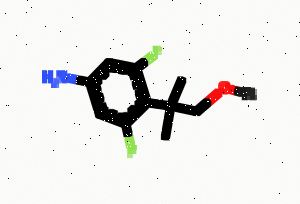 CCOCC(C)(C)c1c(F)cc(N)cc1F